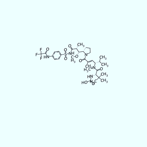 CO[C@H]([C@@H](C)C(=O)NS(=O)(=O)c1ccc(NC(=O)C(F)(F)F)cc1)[C@@H]1CCCN1C(=O)C(C)=C[C@H](C(C)C)N(C)C(=O)[C@@H](NC(=O)O)C(C)(C)C